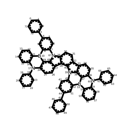 c1ccc(-c2ccc3c(c2)B2c4ccccc4N(c4ccccc4)c4ccc5c6c(ccc7c8ccc9c%10c8n(c76)-c6ccc(-c7ccccc7)cc6B%10c6ccccc6N9c6ccccc6)n-3c5c42)cc1